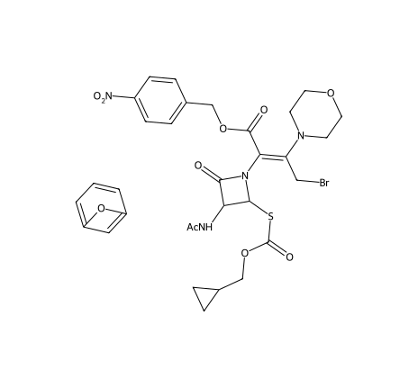 CC(=O)NC1C(=O)N(C(C(=O)OCc2ccc([N+](=O)[O-])cc2)=C(CBr)N2CCOCC2)C1SC(=O)OCC1CC1.c1cc2cc(c1)O2